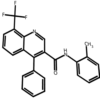 Cc1ccccc1NC(=O)c1cnc2c(C(F)(F)F)cccc2c1-c1ccccc1